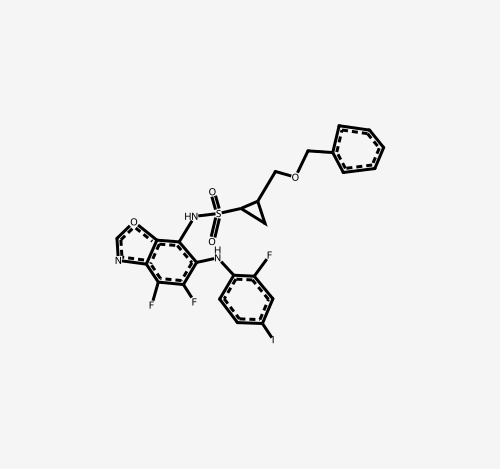 O=S(=O)(Nc1c(Nc2ccc(I)cc2F)c(F)c(F)c2ncoc12)C1CC1COCc1ccccc1